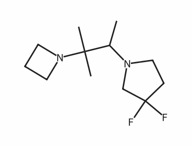 CC(N1CCC(F)(F)C1)C(C)(C)N1CCC1